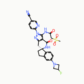 CS(=O)(=O)CC(=O)Nc1c2c(nn1-c1ccc(C#N)cn1)C[C@]1(CCc3cc(N4CC(F)C4)ccc31)NC2=O